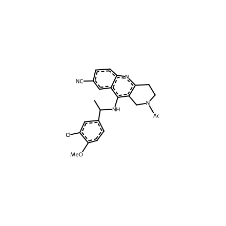 COc1ccc(C(C)Nc2c3c(nc4ccc(C#N)cc24)CCN(C(C)=O)C3)cc1Cl